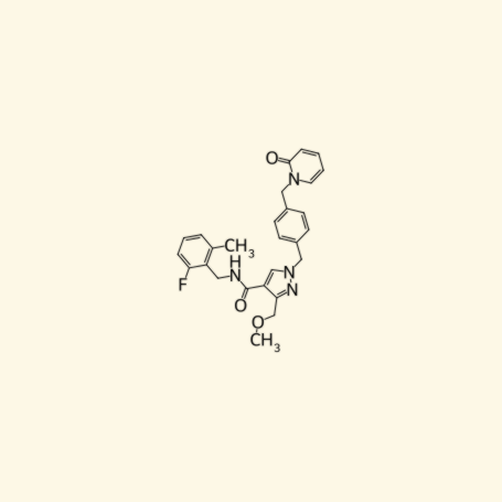 COCc1nn(Cc2ccc(Cn3ccccc3=O)cc2)cc1C(=O)NCc1c(C)cccc1F